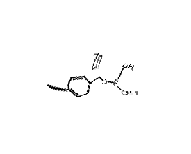 Cc1ccc(COP(O)O)cc1.[Zn]